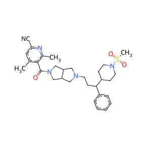 Cc1cc(C#N)nc(C)c1C(=O)N1CC2CN(CCC(c3ccccc3)C3CCN(S(C)(=O)=O)CC3)CC2C1